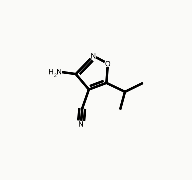 CC(C)c1onc(N)c1C#N